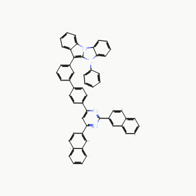 c1ccc(-n2c3ccccc3n3c4ccccc4c(-c4cccc(-c5ccc(-c6cc(-c7ccc8ccccc8c7)nc(-c7ccc8ccccc8c7)n6)cc5)c4)c23)cc1